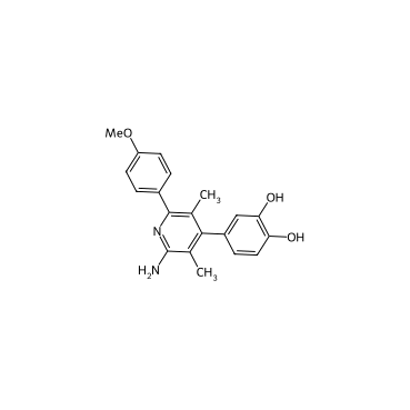 COc1ccc(-c2nc(N)c(C)c(-c3ccc(O)c(O)c3)c2C)cc1